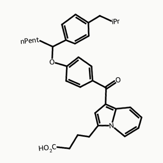 CCCCCC(Oc1ccc(C(=O)c2cc(CCCC(=O)O)n3ccccc23)cc1)c1ccc(CC(C)C)cc1